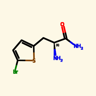 NC(=O)[C@@H](N)Cc1ccc(Br)s1